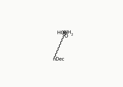 CCCCCCCCCCCCCCCCCCCCCCCCCC(=O)N(N)O